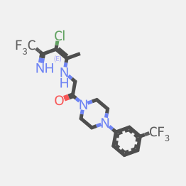 C/C(NCC(=O)N1CCN(c2cccc(C(F)(F)F)c2)CC1)=C(\Cl)C(=N)C(F)(F)F